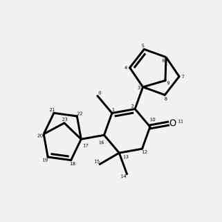 CC1=C(C23C=CC(CC2)C3)C(=O)CC(C)(C)C1C12C=CC(CC1)C2